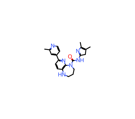 CC1=C(C)N=C(NC(=O)N2CCCNc3ccc(-c4ccnc(C)c4)nc32)C1